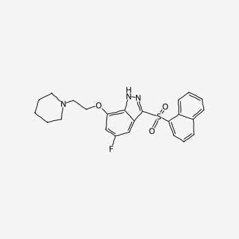 O=S(=O)(c1cccc2ccccc12)c1n[nH]c2c(OCCN3CCCCC3)cc(F)cc12